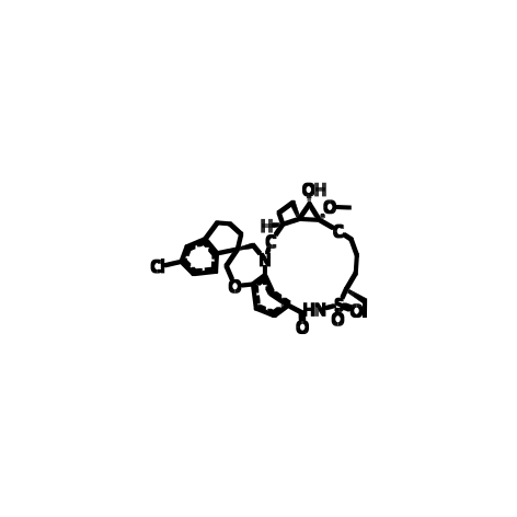 CC[C@@H]1CCCC[C@]2(OC)[C@@H](O)[C@]23CC[C@H]3CN2C[C@@]3(CCCc4cc(Cl)ccc43)COc3ccc(cc32)C(=O)NS1(=O)=O